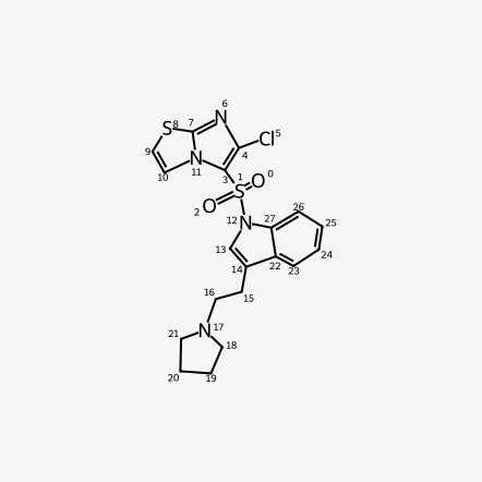 O=S(=O)(c1c(Cl)nc2sccn12)n1cc(CCN2CCCC2)c2ccccc21